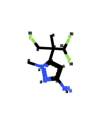 Cn1nc(N)cc1C(C)(CF)C(F)F